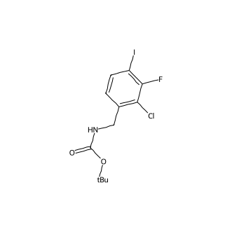 CC(C)(C)OC(=O)NCc1ccc(I)c(F)c1Cl